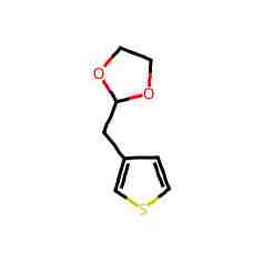 c1cc(CC2OCCO2)cs1